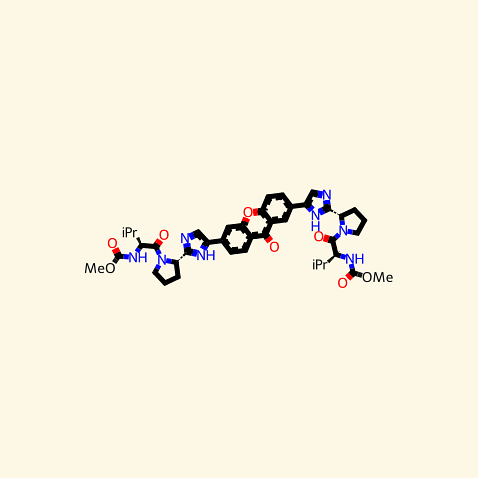 COC(=O)N[C@H](C(=O)N1CCC[C@H]1c1ncc(-c2ccc3c(=O)c4cc(-c5cnc([C@@H]6CCCN6C(=O)[C@@H](NC(=O)OC)C(C)C)[nH]5)ccc4oc3c2)[nH]1)C(C)C